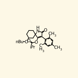 CCCCOC1CCCC2(C1)NC(=O)C(c1c(C)cc(C)cc1C)=C2OC(=O)C(C)C